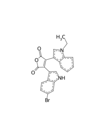 CCn1cc(C2=C(c3c[nH]c4cc(Br)ccc34)C(=O)OC2=O)c2ccccc21